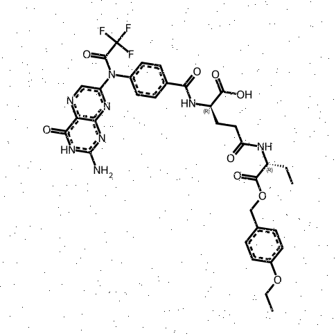 CCOc1ccc(COC(=O)[C@@H](CC)NC(=O)CC[C@@H](NC(=O)c2ccc(N(C(=O)C(F)(F)F)c3cnc4c(=O)[nH]c(N)nc4n3)cc2)C(=O)O)cc1